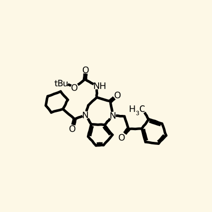 Cc1ccccc1C(=O)CN1C(=O)C(NC(=O)OC(C)(C)C)CN(C(=O)C2CCCCC2)c2ccccc21